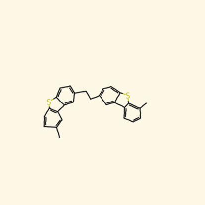 Cc1ccc2sc3ccc(CCc4ccc5sc6c(C)cccc6c5c4)cc3c2c1